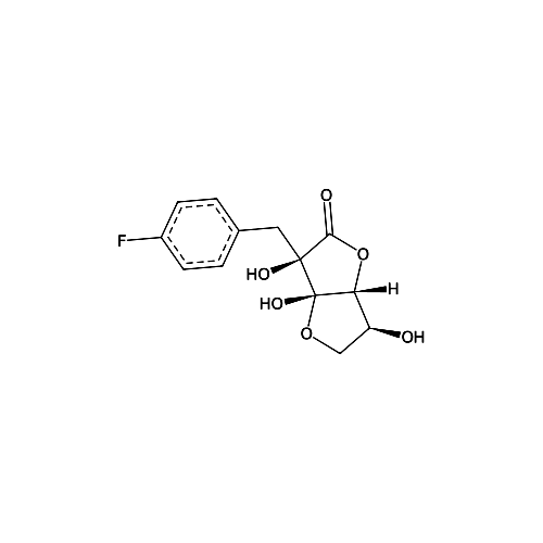 O=C1O[C@@H]2[C@@H](O)CO[C@]2(O)[C@]1(O)Cc1ccc(F)cc1